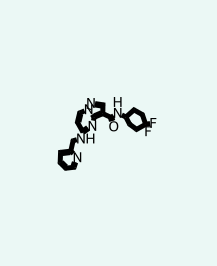 O=C(NC1CCC(F)(F)CC1)c1cnn2ccc(NCc3ccccn3)nc12